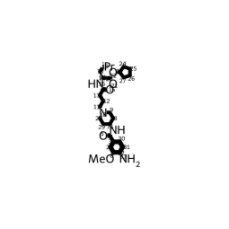 COc1cc(C(=O)NC2CCN(CCCC(=O)N[C@@H](CC(C)C)C(=O)OC3CCCC3)CC2)ccc1N